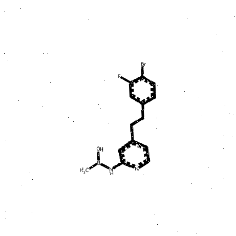 CB(O)Nc1cc(CCc2ccc(Br)c(F)c2)ccn1